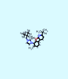 [2H]C(C)(C)c1ccc2c(n1)oc1c(N3C=CN(CC(C)(C([2H])([2H])[2H])C([2H])([2H])[2H])[C@@H]3C)c(C)ccc12